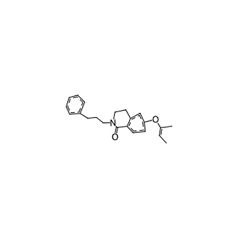 CC=C(C)Oc1ccc2c(c1)CCN(CCCc1ccccc1)C2=O